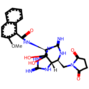 COc1ccc2ccccc2c1C(=O)N[C@H]1CN2C(=N)N[C@@H](CN3C(=O)CCC3=O)[C@@H]3NC(=N)N[C@@]32C1(O)O